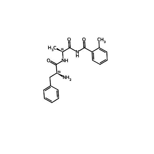 Cc1ccccc1C(=O)NC(=O)[C@H](C)NC(=O)[C@@H](N)Cc1ccccc1